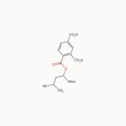 CCCCCCCCCC(CC(C)C#N)OC(=O)c1ccc(C(=O)O)cc1C(=O)O